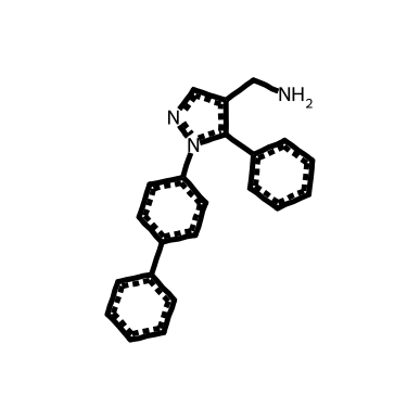 NCc1cnn(-c2ccc(-c3ccccc3)cc2)c1-c1ccccc1